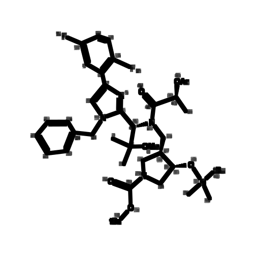 COC(C)(C)[C@H](c1nc(-c2cc(F)ccc2F)cn1Cc1ccccc1)N(C[C@@H]1CN(C(=O)OC(C)(C)C)C[C@H]1O[Si](C)(C)C(C)(C)C)C(=O)[C@H](C)OC(C)=O